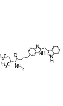 CC[C@H](C)[C@H](N)C(=O)CCCc1ccc2nc(Cc3c[nH]c4ccccc34)[nH]c2c1